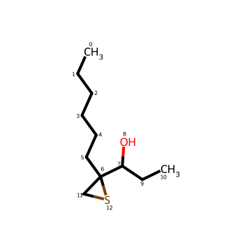 CCCCCCC1(C(O)CC)CS1